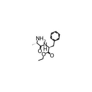 CCOC(=O)[C@H](Cc1ccccc1)NC(=O)[C@H](C)N